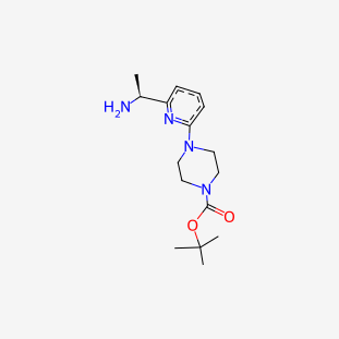 C[C@H](N)c1cccc(N2CCN(C(=O)OC(C)(C)C)CC2)n1